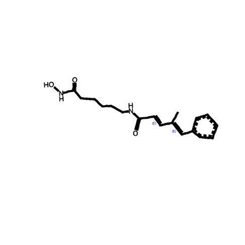 CC(/C=C/C(=O)NCCCCCC(=O)NO)=C\c1ccccc1